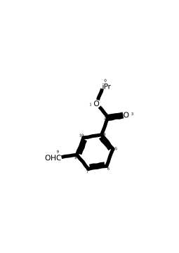 CC(C)OC(=O)c1cccc(C=O)c1